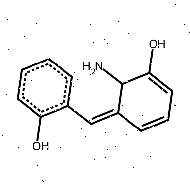 NC1C(O)=CC=CC1=Cc1ccccc1O